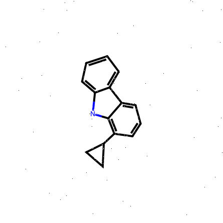 c1ccc2c(c1)[N]c1c-2cccc1C1CC1